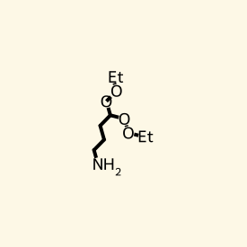 CCOOC(CCCN)OOCC